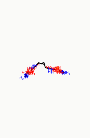 CC(C)(CCCCc1cccc(CCCCC(C)(C)CC(=O)CCNC(=O)CCNC(=O)C(O)C(C)(C)COP(=O)(O)OP(=O)(O)OCC2OC(n3cnc4c(N)ncnc43)C(O)C2OP(=O)(O)O)c1)CC(=O)CCNC(=O)CCNC(=O)C(O)C(C)(C)COP(=O)(O)OP(=O)(O)OCC1OC(n2cnc3c(N)ncnc32)C(O)C1OP(=O)(O)O